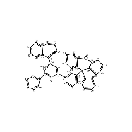 c1ccc(-c2nc(-c3cccc(C4(c5ccccc5)c5ccccc5Oc5ccccc54)c3)cc(-c3cccc4ccccc34)n2)cc1